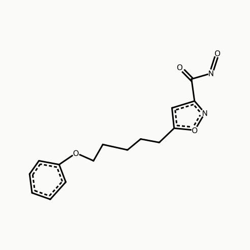 O=NC(=O)c1cc(CCCCCOc2ccccc2)on1